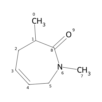 CC1CC=CCN(C)C1=O